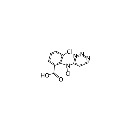 O=C(O)c1cccc(Cl)c1N(Cl)c1ccnnn1